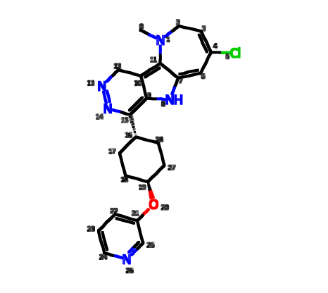 CN1CC=C(Cl)C=c2[nH]c3c(c21)CN=NC=3[C@H]1CC[C@H](Oc2cccnc2)CC1